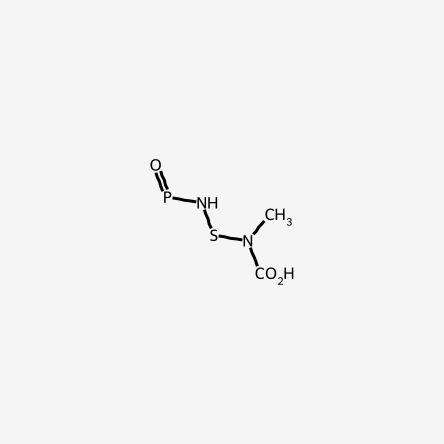 CN(SNP=O)C(=O)O